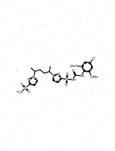 COc1cc(Cl)cc(OC)c1NC(=O)NS(=O)(=O)c1ccn(C(C)CCC(C)n2ccc(S(N)(=O)=O)n2)n1